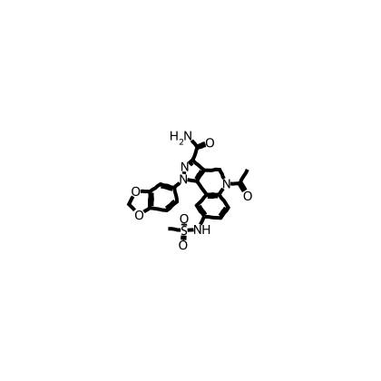 CC(=O)N1Cc2c(C(N)=O)nn(-c3ccc4c(c3)OCO4)c2-c2cc(NS(C)(=O)=O)ccc21